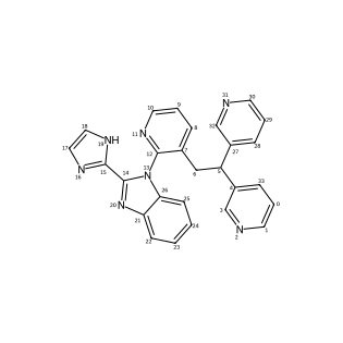 c1cncc(C(Cc2cccnc2-n2c(-c3ncc[nH]3)nc3ccccc32)c2cccnc2)c1